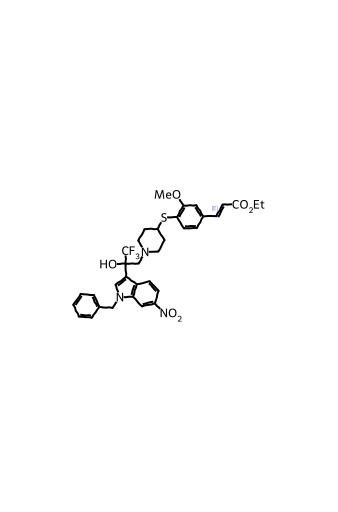 CCOC(=O)/C=C/c1ccc(SC2CCN(CC(O)(c3cn(Cc4ccccc4)c4cc([N+](=O)[O-])ccc34)C(F)(F)F)CC2)c(OC)c1